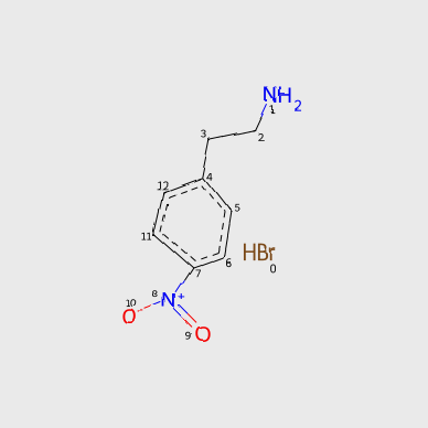 Br.NCCc1ccc([N+](=O)[O-])cc1